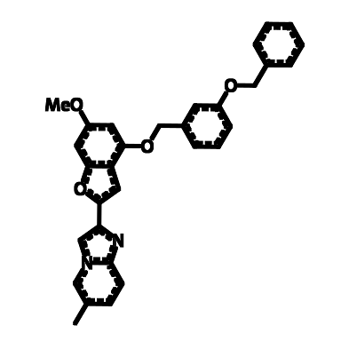 COc1cc(OCc2cccc(OCc3ccccc3)c2)c2cc(-c3cn4cc(C)ccc4n3)oc2c1